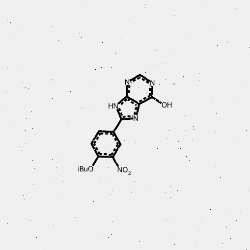 CC(C)COc1ccc(-c2nc3c(O)ncnc3[nH]2)cc1[N+](=O)[O-]